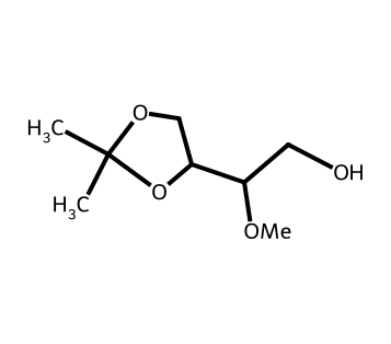 COC(CO)C1COC(C)(C)O1